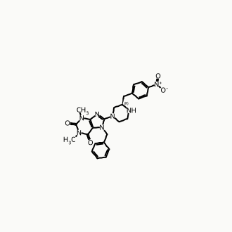 Cn1c(=O)c2c(nc(N3CCN[C@H](Cc4ccc([N+](=O)[O-])cc4)C3)n2Cc2ccccc2)n(C)c1=O